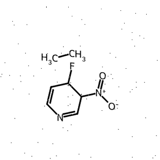 CC.O=[N+]([O-])[C]1C=NC=C[C]1F